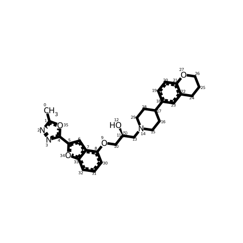 Cc1nnc(-c2cc3c(OC[C@@H](O)CN4CCC(c5ccc6c(c5)CCCO6)CC4)cccc3o2)o1